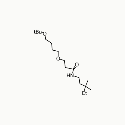 CCC(C)(C)CCNC(=O)CCOCCCCOC(C)(C)C